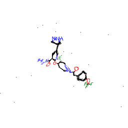 NC(=O)c1cc(-c2cn[nH]c2)cnc1OC1CCN(C(=O)Cc2ccc(OC(F)(F)F)cc2)C[C@H]1F